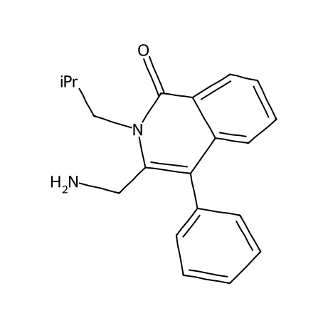 CC(C)Cn1c(CN)c(-c2ccccc2)c2ccccc2c1=O